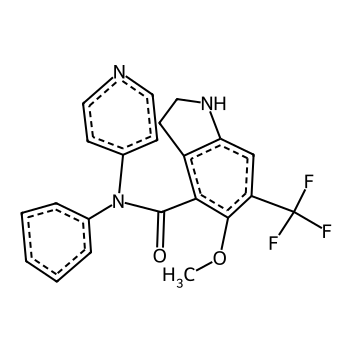 COc1c(C(F)(F)F)cc2c(c1C(=O)N(c1ccccc1)c1ccncc1)CCN2